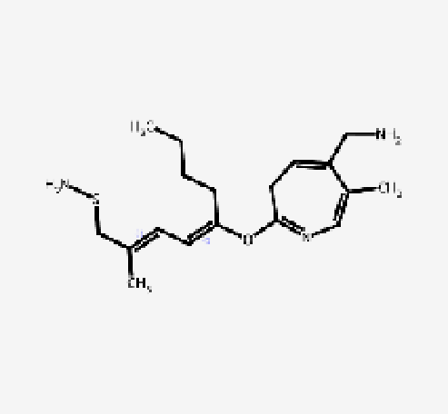 CCCC/C(=C\C=C(/C)CSN)OC1=NC=C(C)C(CN)=CC1